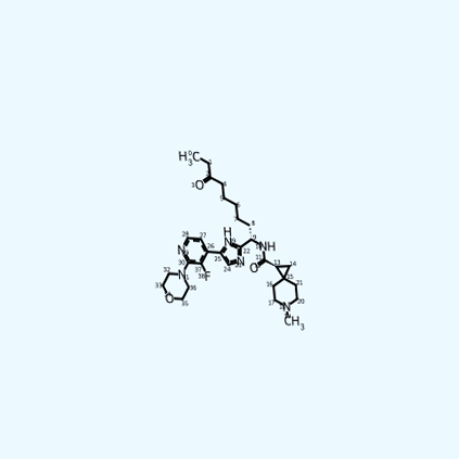 CCC(=O)CCCCC[C@H](NC(=O)[C@H]1CC12CCN(C)CC2)c1ncc(-c2ccnc(N3CCOCC3)c2F)[nH]1